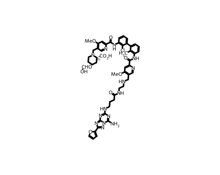 COc1cc(C(=O)Nc2cccc(-c3cccc(NC(=O)c4cc(OC)c(CN5CCCC[C@H]5C(=O)O)cn4)c3Cl)c2C)ncc1CNCCNC(=O)CCCNc1nc(N)n2nc(-c3ccco3)nc2n1.O=CO